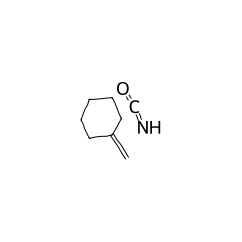 C=C1CCCCC1.N=C=O